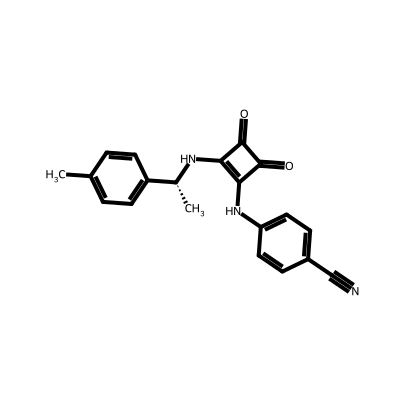 Cc1ccc([C@@H](C)Nc2c(Nc3ccc(C#N)cc3)c(=O)c2=O)cc1